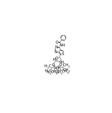 CC(C)[Si]1(C(C)C)OC[C@H]2O[C@@H](c3scc4c(NC(=O)c5ccccc5)ncnc34)C[C@@H]2O[Si](C(C)C)(C(C)C)O1